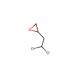 ClC(Cl)CC1CO1